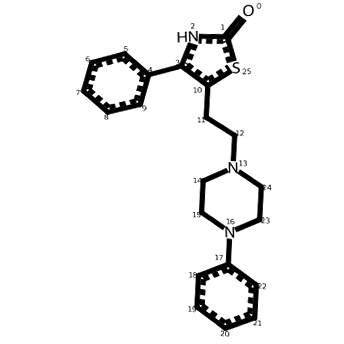 O=c1[nH]c(-c2ccccc2)c(CCN2CCN(c3ccccc3)CC2)s1